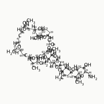 C=C1C[C@@H]2CC[C@@H]3C[C@@H](OC)[C@H](O3)[C@H]3C[C@@H](O)[C@H]4O[C@H](CC[C@@H]4O3)CC(=O)O[C@@H]3[C@@H](C)[C@@H]4O[C@@H]5C[C@]6(C[C@@H]7O[C@]8(C[C@H](C)[C@@H]9O[C@H](CN)[C@H](O)C[C@@H]9O8)C[C@H](C)[C@@H]7O6)O[C@@H]5C[C@@H]4O[C@H]3C[C@H]3O[C@@H](CC[C@@H]1O2)C[C@@H](C)C3=C